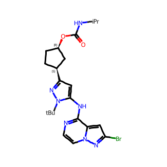 CC(C)NC(=O)O[C@@H]1CC[C@H](c2cc(Nc3nccn4nc(Br)cc34)n(C(C)(C)C)n2)C1